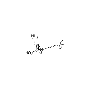 NCCCCCc1cn([C@@H](CCC(=O)O)C(=O)NCCCCCCCCCCC(=O)N2CCCCC2)nn1